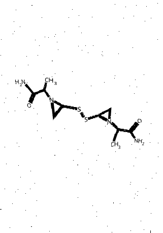 CC(C(N)=O)N1CC1SSC1CN1C(C)C(N)=O